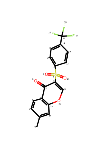 Cc1ccc2c(=O)c(S(=O)(=O)c3ccc(C(F)(F)F)cc3)coc2c1